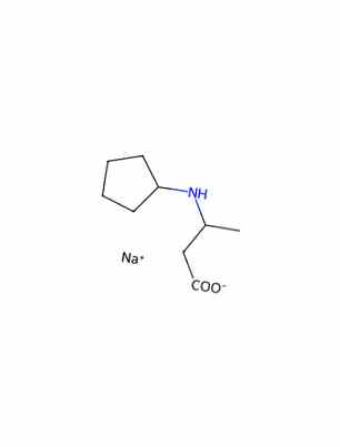 CC(CC(=O)[O-])NC1CCCC1.[Na+]